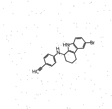 C#Cc1ccc(NC2CCCc3c2[nH]c2ccc(Br)cc32)cc1